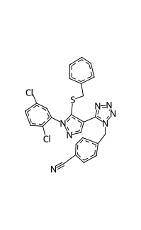 N#Cc1ccc(Cn2nnnc2-c2cnn(-c3cc(Cl)ccc3Cl)c2SCc2ccccc2)cc1